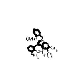 COc1ccccc1Cn1cc(-c2cccc(N)c2C)c2cc(C#N)c(C)cc21